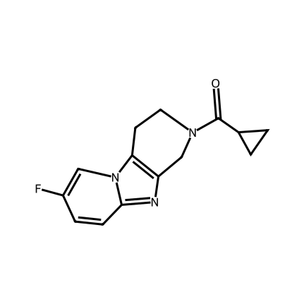 O=C(C1CC1)N1CCc2c(nc3ccc(F)cn23)C1